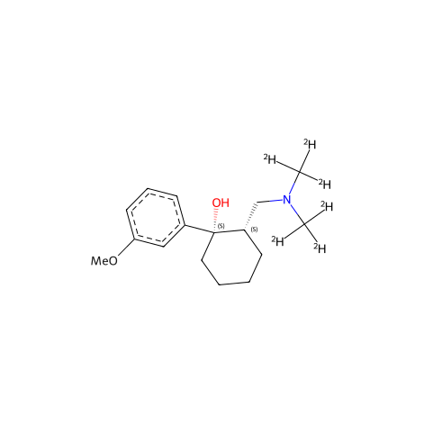 [2H]C([2H])([2H])N(C[C@@H]1CCCC[C@@]1(O)c1cccc(OC)c1)C([2H])([2H])[2H]